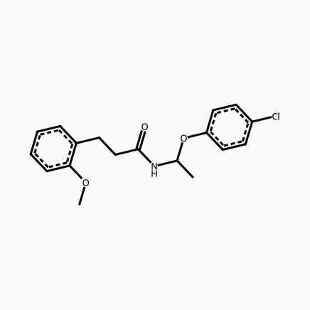 COc1ccccc1CCC(=O)NC(C)Oc1ccc(Cl)cc1